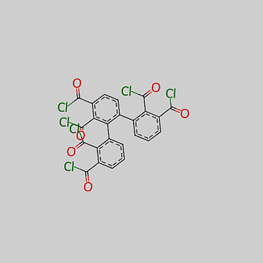 O=C(Cl)c1cccc(-c2ccc(C(=O)Cl)c(C(=O)Cl)c2-c2cccc(C(=O)Cl)c2C(=O)Cl)c1C(=O)Cl